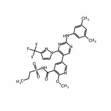 CCCS(=O)(=O)NC(=O)c1cc(-c2cnc(Nc3cc(C)cc(C)c3)nc2-n2ccc(C(F)(F)F)n2)cnc1OC